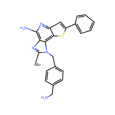 CCCCc1nc2c(N)nc3cc(-c4ccccc4)sc3c2n1Cc1ccc(CN)cc1